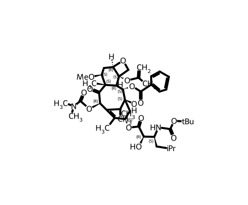 C=C(C)O[C@@]12CO[C@@H]1C[C@H](OC)[C@@]1(C)C(=O)[C@H](OC(=O)N(C)C)C3=C(C)[C@@H](OC(=O)[C@H](O)[C@H](CC(C)C)NC(=O)OC(C)(C)C)C[C@@](O)([C@@H](OC(=O)c4ccccc4)[C@H]21)C3(C)C